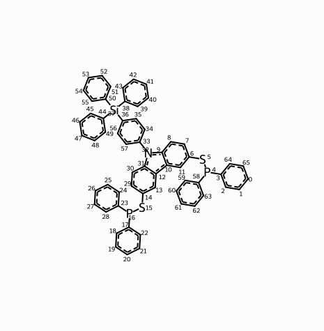 c1ccc(P(Sc2ccc3c(c2)c2cc(SP(c4ccccc4)c4ccccc4)ccc2n3-c2ccc([Si](c3ccccc3)(c3ccccc3)c3ccccc3)cc2)c2ccccc2)cc1